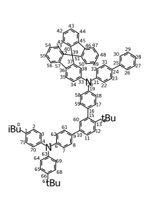 CCC(C)c1ccc(N(c2ccc(-c3ccc(C(C)(C)C)c(-c4ccc(N(c5ccc(-c6ccccc6)cc5)c5ccc6c(c5)C5(c7ccccc7-c7ccccc75)c5ccccc5-6)cc4)c3)cc2)c2ccc(C(C)(C)C)cc2)cc1